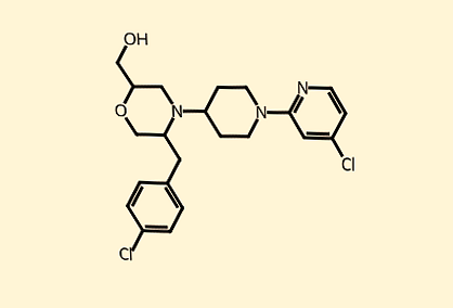 OCC1CN(C2CCN(c3cc(Cl)ccn3)CC2)C(Cc2ccc(Cl)cc2)CO1